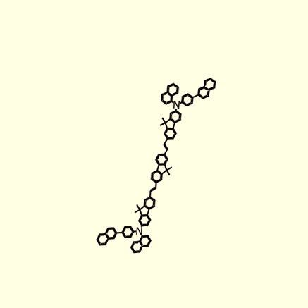 CC1(C)c2cc(/C=C/c3ccc4c(c3)C(C)(C)c3cc(N(c5ccc(-c6ccc7ccccc7c6)cc5)c5cccc6ccccc56)ccc3-4)ccc2-c2ccc(/C=C/c3ccc4c(c3)C(C)(C)c3cc(N(c5ccc(-c6ccc7ccccc7c6)cc5)c5cccc6ccccc56)ccc3-4)cc21